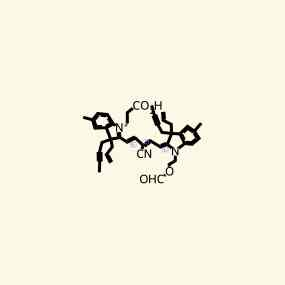 C=CCC1(CC#CC)C(/C=C/C(C#N)=C/C=C2/N(CCOC=O)c3ccc(C)cc3C2(CC#CC)CC=C)=[N+](CCC(=O)O)c2ccc(C)cc21